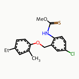 CCc1ccc(OCc2cc(Cl)ccc2NC(=S)OC)c(C)c1